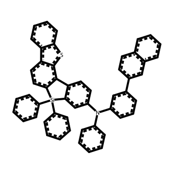 c1ccc(N(c2cccc(-c3ccc4ccccc4c3)c2)c2ccc3c(c2)[Si](c2ccccc2)(c2ccccc2)c2ccc4c(sc5ccccc54)c2-3)cc1